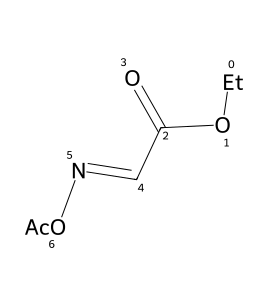 CCOC(=O)/C=N/OC(C)=O